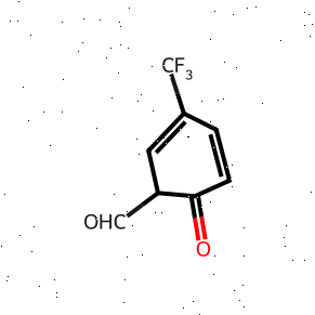 O=CC1C=C(C(F)(F)F)C=CC1=O